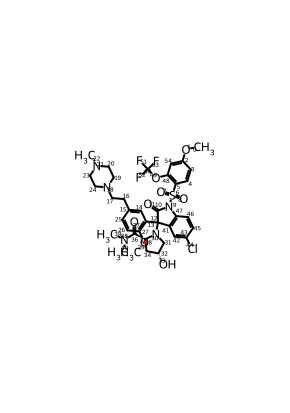 COc1ccc(S(=O)(=O)N2C(=O)C(c3cc(CCN4CCN(C)CC4)ccc3OC)(N3C[C@H](O)C[C@H]3C(=O)N(C)C)c3cc(Cl)ccc32)c(OC(F)(F)F)c1